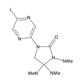 CNN1C(=O)N(c2cnc(I)cn2)CC1(NC)NC